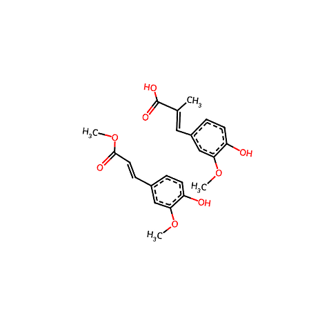 COC(=O)/C=C/c1ccc(O)c(OC)c1.COc1cc(/C=C(\C)C(=O)O)ccc1O